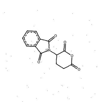 O=C1CCC([15N]2C(=O)c3ccccc3C2=O)C(=O)O1